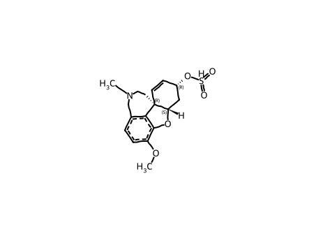 COc1ccc2c3c1O[C@H]1C[C@@H](O[SH](=O)=O)C=C[C@]31CCN(C)C2